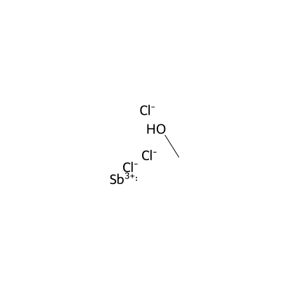 CO.[Cl-].[Cl-].[Cl-].[Sb+3]